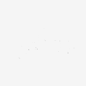 Nc1nc2cnc(C(=O)N(Cc3ccc(C(F)(F)F)nn3)CC3CC3)cc2c2c1COC2